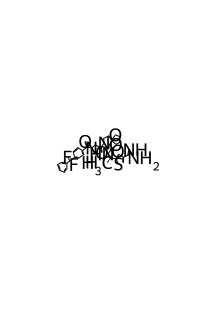 C[C@@H](NC(=O)[C@H]1N(C(=O)CNC(=O)c2ccc(C(F)(F)c3ccccc3)cc2)CCC12OCCO2)c1cc(C(=N)N)cs1